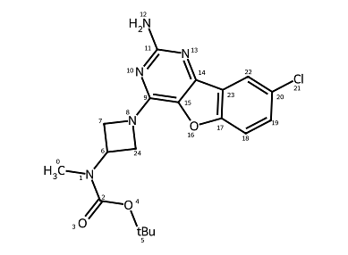 CN(C(=O)OC(C)(C)C)C1CN(c2nc(N)nc3c2oc2ccc(Cl)cc23)C1